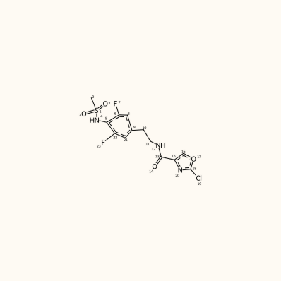 CS(=O)(=O)Nc1c(F)cc(CCNC(=O)c2coc(Cl)n2)cc1F